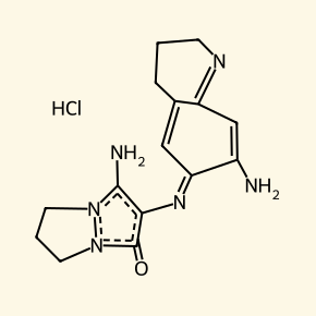 Cl.NC1=CC2=NCCCC2=CC1=Nc1c(N)n2n(c1=O)CCC2